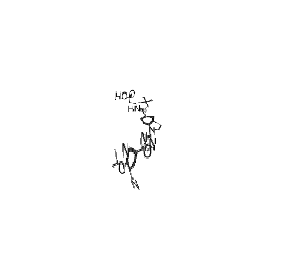 CC(C)Oc1ncc(-c2nc(N3CCc4cc([C@@H](CC(C)(C)C)NCCC(=O)O)ccc43)no2)cc1C#N